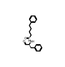 O=[C][C@H](Cc1ccccc1)N[PH](=O)CCCCc1ccccc1